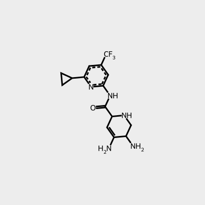 NC1=CC(C(=O)Nc2cc(C(F)(F)F)cc(C3CC3)n2)NCC1N